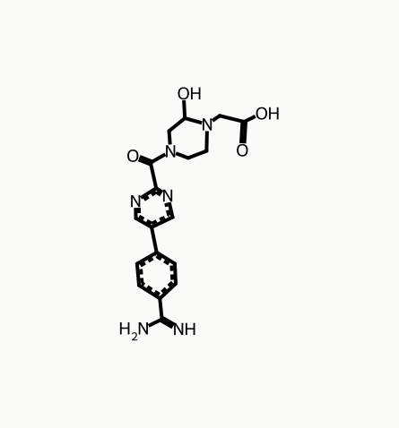 N=C(N)c1ccc(-c2cnc(C(=O)N3CCN(CC(=O)O)C(O)C3)nc2)cc1